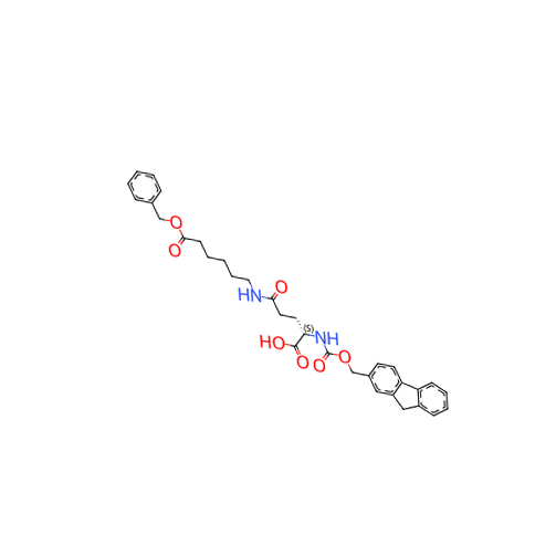 O=C(CC[C@H](NC(=O)OCc1ccc2c(c1)Cc1ccccc1-2)C(=O)O)NCCCCCC(=O)OCc1ccccc1